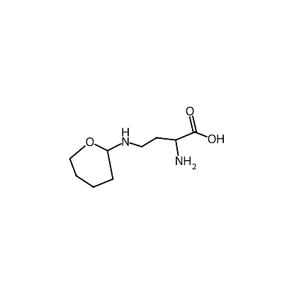 NC(CCNC1CCCCO1)C(=O)O